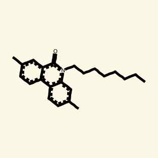 CCCCCCCCn1c(=O)c2cc(C)ccc2c2ccc(C)cc21